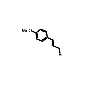 COc1ccc(C=CCBr)cc1